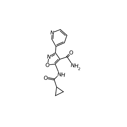 NC(=O)c1c(-c2cccnc2)noc1NC(=O)C1CC1